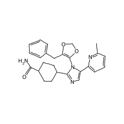 Cc1cccc(-c2cnc(C3CCC(C(N)=O)CC3)n2C2=C(Cc3ccccc3)OCO2)n1